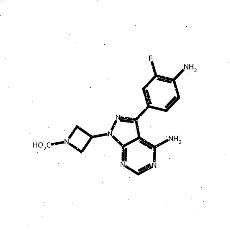 Nc1ccc(-c2nn(C3CN(C(=O)O)C3)c3ncnc(N)c23)cc1F